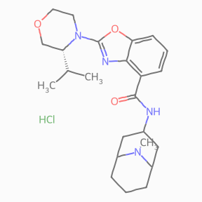 CC(C)[C@@H]1COCCN1c1nc2c(C(=O)NC3CC4CCCC(C3)N4C)cccc2o1.Cl